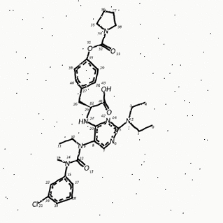 CCN(CC)c1ncc(N(CC)C(=O)N(C)c2cccc(Cl)c2)c(N[C@@H](Cc2ccc(OC(=O)N3CCCC3)cc2)C(=O)O)n1